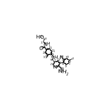 Cc1ccc(-c2cc(CCc3ccc(C(=O)NCCO)cc3C)cnc2CN)c(N)c1